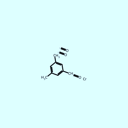 Cc1cc(C)cc(C)c1.[C]=O.[C]=O.[C]=O.[Cr]